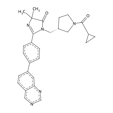 CC1(C)N=C(c2ccc(-c3ccc4cncnc4c3)cc2)N(C[C@@H]2CCN(C(=O)C3CC3)C2)C1=O